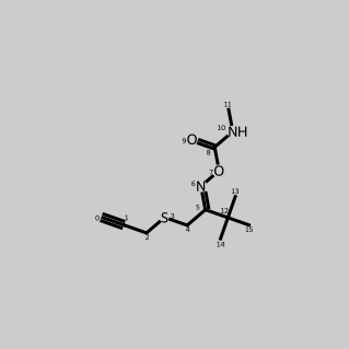 C#CCSCC(=NOC(=O)NC)C(C)(C)C